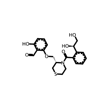 O=Cc1c(O)cccc1OC[C@H]1CSCCN1C(=O)c1ccccc1[C@@H](O)CO